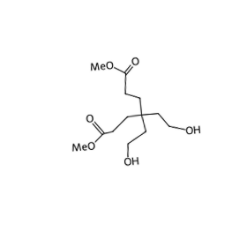 COC(=O)CCC(CCO)(CCO)CCC(=O)OC